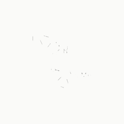 CCCN(CCCC(=O)c1ccccc1C(=O)OC)C(=O)Nc1ccc(F)cc1